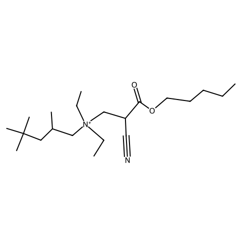 CCCCCOC(=O)C(C#N)C[N+](CC)(CC)CC(C)CC(C)(C)C